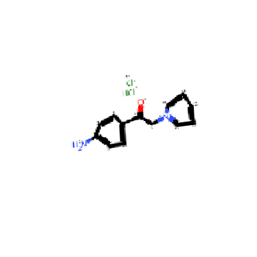 Cl.Nc1ccc(C(=O)C[n+]2ccccc2)cc1.[Cl-]